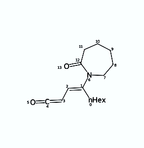 CCCCCCC(=CC=C=O)N1CCCCCC1=O